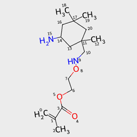 C=C(C)C(=O)OCCONCC1(C)CC(N)CC(C)(C)C1